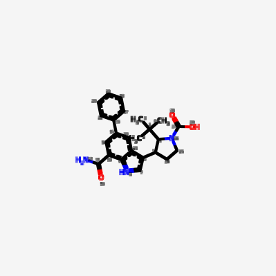 CC(C)(C)C1C(c2c[nH]c3c(C(N)=O)cc(-c4ccccc4)cc23)CCN1C(=O)O